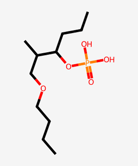 CCCCOCC(C)C(CCC)OP(=O)(O)O